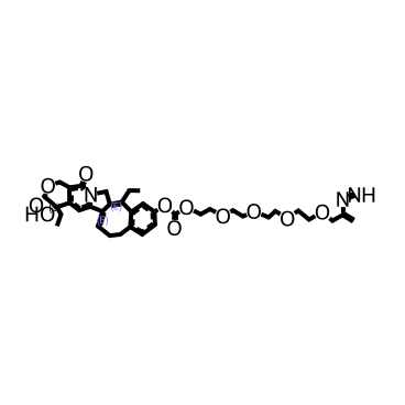 C=C(COCCOCCOCCOCCOC(=O)Oc1ccc2c(c1)/C(CC)=C1/Cn3c(cc4c(c3=O)COC(=O)[C@]4(O)CC)/C1=C/CC2)N=N